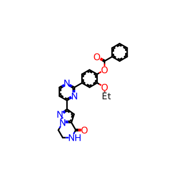 CCOc1cc(-c2nccc(-c3cc4n(n3)CCNC4=O)n2)ccc1OC(=O)c1ccccc1